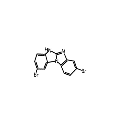 Brc1ccc2c(c1)nc1[nH]c3ccc(Br)cc3n12